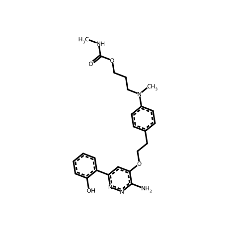 CNC(=O)OCCCN(C)c1ccc(CCOc2cc(-c3ccccc3O)nnc2N)cc1